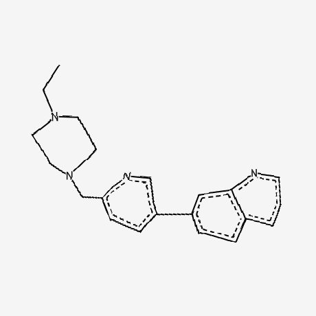 CCN1CCN(Cc2ccc(-c3ccc4cccnc4c3)cn2)CC1